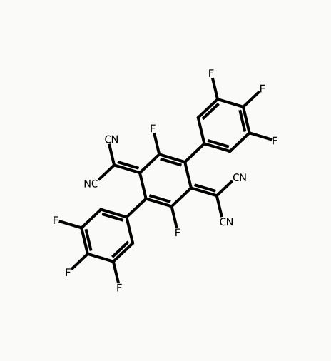 N#CC(C#N)=c1c(F)c(-c2cc(F)c(F)c(F)c2)c(=C(C#N)C#N)c(F)c1-c1cc(F)c(F)c(F)c1